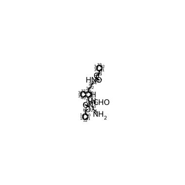 NCCCN(C(=O)OCc1ccccc1)[C@@H](Cc1ccc(CCCCNC(=O)OCc2ccccc2)c2ccccc12)NC=O